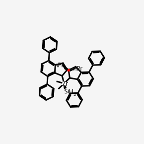 CCCC1=Cc2c(-c3ccccc3)ccc(-c3ccccc3)c2[CH]1[Zr]([CH3])([CH3])(=[SiH2])[CH]1C(CCC)=Cc2c(-c3ccccc3)ccc(-c3ccccc3)c21